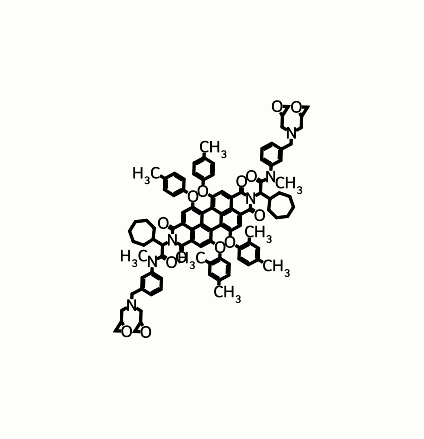 Cc1ccc(Oc2cc3c4c(cc(Oc5ccc(C)cc5C)c5c6c(Oc7ccc(C)cc7C)cc7c8c(cc(Oc9ccc(C)cc9)c(c2c45)c86)C(=O)N(C(C(=O)N(C)c2cccc(CN(CC4CO4)CC4CO4)c2)C2CCCCCC2)C7=O)C(=O)N(C(C(=O)N(C)c2cccc(CN(CC4CO4)CC4CO4)c2)C2CCCCCC2)C3=O)cc1